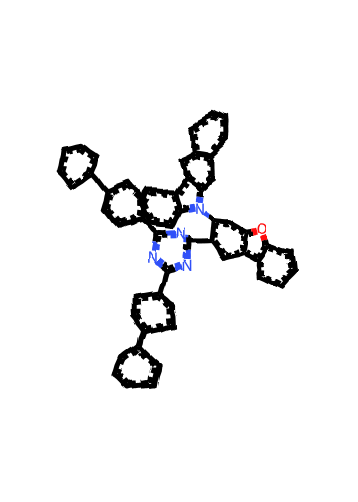 c1ccc(-c2ccc(-c3nc(-c4ccc(-c5ccccc5)cc4)nc(-c4cc5c(cc4-n4c6ccccc6c6cc7ccccc7cc64)oc4ccccc45)n3)cc2)cc1